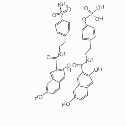 NS(=O)(=O)c1ccc(CCNC(=O)c2cc3cc(O)ccc3cc2O)cc1.O=C(NCCc1ccc(OP(=O)(O)O)cc1)c1cc2cc(O)ccc2cc1O